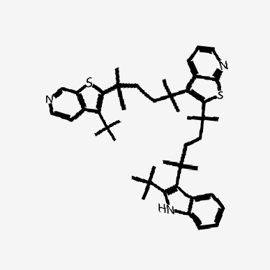 CC(C)(C)c1[nH]c2ccccc2c1C(C)(C)CCC(C)(C)c1sc2ncccc2c1C(C)(C)CCC(C)(C)c1sc2cnccc2c1C(C)(C)C